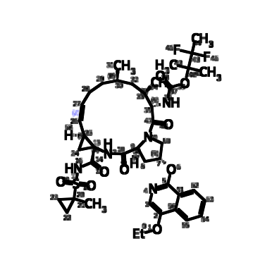 CCOc1cnc(O[C@@H]2C[C@H]3C(=O)N[C@]4(C(=O)NS(=O)(=O)C5(C)CC5)C[C@H]4/C=C\CC[C@@H](C)C[C@@H](C)[C@H](NC(=O)OC(C)(C)C(C)(F)F)C(=O)N3C2)c2ccccc12